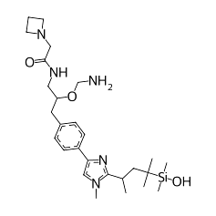 CC(CC(C)(C)[Si](C)(C)O)c1nc(-c2ccc(CC(CNC(=O)CN3CCC3)OCN)cc2)cn1C